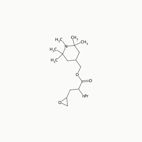 CCCC(CC1CO1)C(=O)OCC1CC(C)(C)N(C)C(C)(C)C1